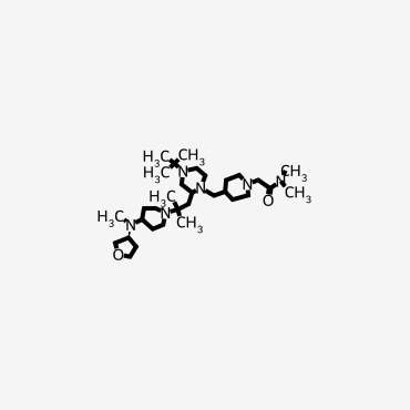 CN(C)C(=O)CN1CCC(CN2CCN(C(C)(C)C)CC2CC(C)(C)N2CCC(N(C)[C@@H]3CCOC3)CC2)CC1